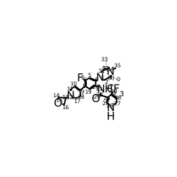 C[C@@H]1CN(c2cc(F)c(C3=CCN(C4COC4)CC3)cc2NC(=O)C2=CNCC=C2C(F)(F)F)C[C@H](C)N1C